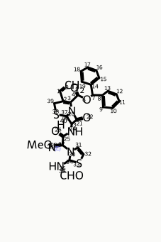 C=CC1=C(C(=O)OC(c2ccccc2)c2ccccc2)N2C(=O)C(NC(=O)/C(=N\OC)N3C=CSC3NC=O)[C@H]2SC1